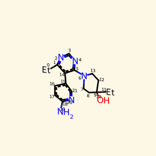 CCc1ncnc(N2CCC(O)(CC)CC2)c1-c1ccc(N)nc1